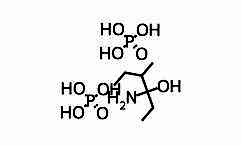 CCC(C)C(N)(O)CC.O=P(O)(O)O.O=P(O)(O)O